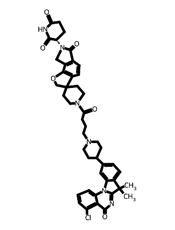 CC1(C)c2ccc(C3CCN(CCCC(=O)N4CCC5(CC4)COc4c5ccc5c4CN([C@H]4CCC(=O)NC4=O)C5=O)CC3)cc2-n2c1nc(=O)c1c(Cl)cccc12